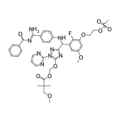 COCC(C)(C)C(=O)OCOc1nc(C(Nc2ccc(C(N)=NC(=O)c3ccccc3)cc2)c2cc(OC)cc(OCCOS(C)(=O)=O)c2F)nn1-c1ncccn1